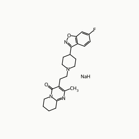 Cc1nc2n(c(=O)c1CCN1CCC(c3noc4cc(F)ccc34)CC1)CCCC2.[NaH]